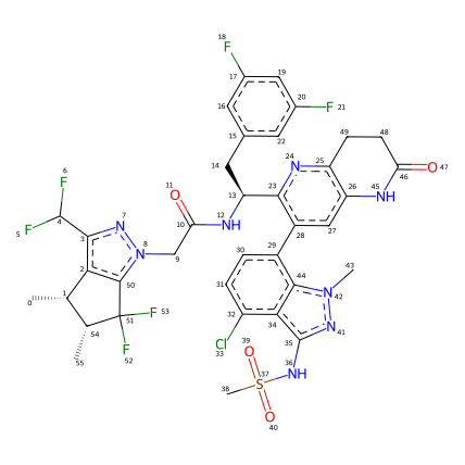 C[C@@H]1c2c(C(F)F)nn(CC(=O)N[C@@H](Cc3cc(F)cc(F)c3)c3nc4c(cc3-c3ccc(Cl)c5c(NS(C)(=O)=O)nn(C)c35)NC(=O)CC4)c2C(F)(F)[C@@H]1C